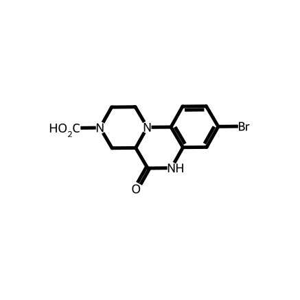 O=C1Nc2cc(Br)ccc2N2CCN(C(=O)O)CC12